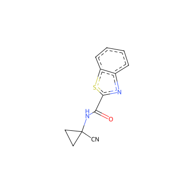 N#CC1(NC(=O)c2nc3ccccc3s2)CC1